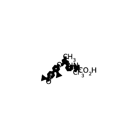 Cc1cc(COc2ccc(C3CCN(C(=O)C4CC4)CC3)c(C3CC3)c2)c(-c2cccc(-n3ncc(C(=O)O)c3C(F)(F)F)n2)s1